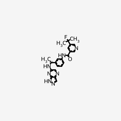 C[C@H](Nc1cnc2cn[nH]c2n1)c1cccc(NC(=O)c2cncc(C(C)(C)F)c2)c1